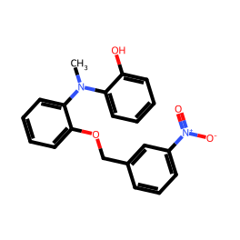 CN(c1ccccc1O)c1ccccc1OCc1cccc([N+](=O)[O-])c1